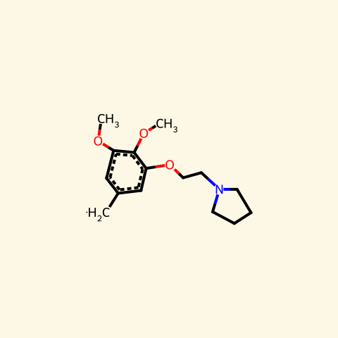 [CH2]c1cc(OC)c(OC)c(OCCN2CCCC2)c1